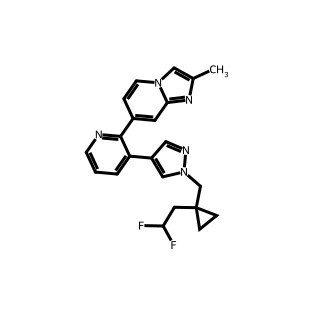 Cc1cn2ccc(-c3ncccc3-c3cnn(CC4(CC(F)F)CC4)c3)cc2n1